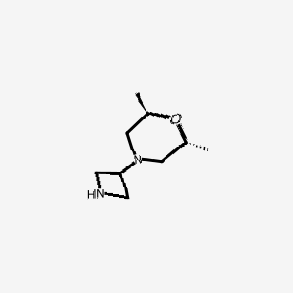 C[C@@H]1CN(C2CNC2)C[C@@H](C)O1